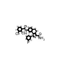 NC(=O)c1nn(-c2cccc(F)c2)c2c1CCc1ccc(NC(=O)c3cccc(Cl)c3Cl)cc1-2